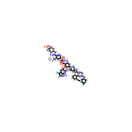 C#Cc1ccccc1[C@@H]1CN(Cc2ccc(F)cc2)CCN1C1CC2(CCN(c3ccc(C(=O)NS(=O)(=O)c4cnc(NCC5CCC(C)(O)CC5)c([N+](=O)[O-])c4)c(Oc4cc5c(F)c[nH]c5nc4OC)c3)CC2)C1